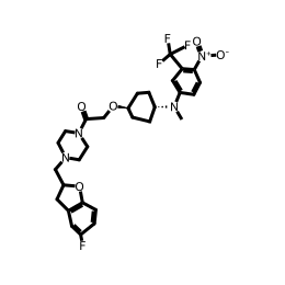 CN(c1ccc([N+](=O)[O-])c(C(F)(F)F)c1)[C@H]1CC[C@H](OCC(=O)N2CCN(CC3Cc4cc(F)ccc4O3)CC2)CC1